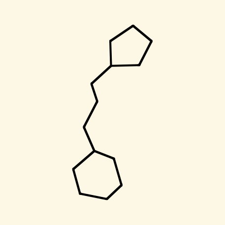 C1CCC(CCCC2CCCC2)CC1